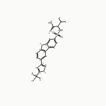 CC(C)[C@@H](NS(=O)(=O)c1ccc2c(c1)oc1ccc(-c3noc(C(F)(F)F)n3)cc12)C(=O)O